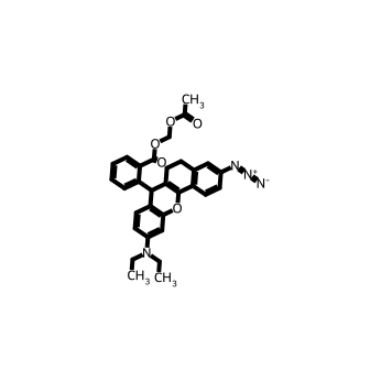 CCN(CC)c1ccc2c(c1)OC1=C(CCc3cc(N=[N+]=[N-])ccc31)C2c1ccccc1C(=O)OCOC(C)=O